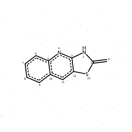 C=C1Nc2nc3ccccc3cc2S1